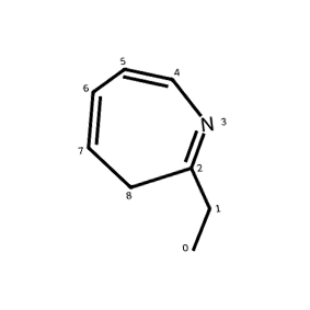 CCC1=NC=CC=CC1